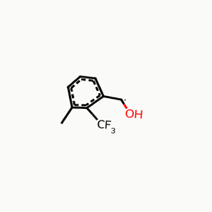 Cc1cccc([CH]O)c1C(F)(F)F